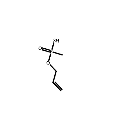 C=CCOP(C)(=O)S